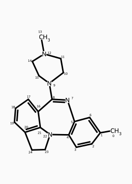 Cc1ccc2c(c1)N=C(N1CCN(C)CC1)c1cccc3c1N2CC3